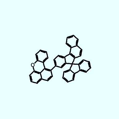 c1ccc2c(c1)Oc1cccc3ccc(-c4ccc5c(c4)C4(c6ccccc6-c6ccccc64)c4ccc6ccccc6c4-5)c-2c13